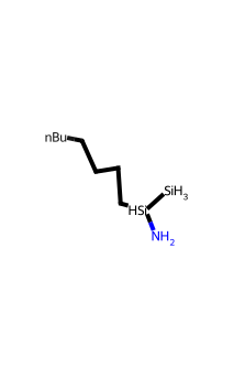 CCCCCCCC[SiH](N)[SiH3]